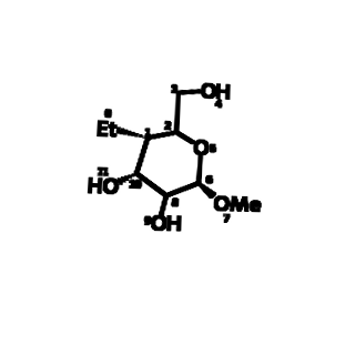 CC[C@@H]1C(CO)O[C@@H](OC)C(O)[C@@H]1O